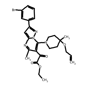 C=CCOC1(C)CCN(c2c(C(=O)C(=O)OCC)c(C)nc3cc(-c4cccc(Br)c4)nn23)CC1